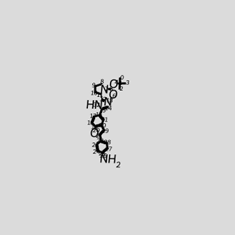 CC(C)(C)OC(=O)N1CCC[C@@H]1c1ncc(-c2ccc3oc(-c4ccc(N)cc4)cc3c2)[nH]1